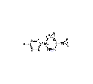 Cc1ccc([S@+]([O-])/N=C\C(C2CC2)C2CC2)cc1